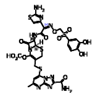 Cc1cc(SCC2=C(OC(=O)O)N3C(=O)[C@@H](NC(=O)/C(=N\OCS(=O)(=O)c4ccc(O)c(O)c4)c4csc(N)n4)[C@H]3SC2)n2nc(C(N)=O)nc2n1